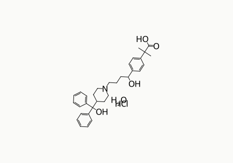 CC(C)(C(=O)O)c1ccc(C(O)CCCN2CCC(C(O)(c3ccccc3)c3ccccc3)CC2)cc1.Cl.O